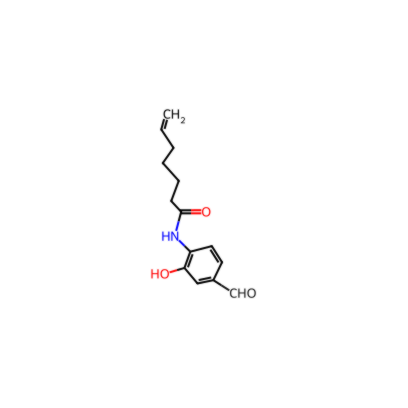 C=CCCCCC(=O)Nc1ccc(C=O)cc1O